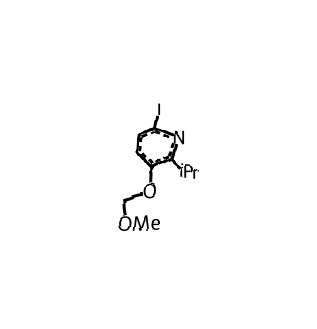 COCOc1ccc(I)nc1C(C)C